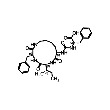 CC[C@H](C)[C@@H]1NC(=O)[C@H](NC(=O)N[C@@H](Cc2ccccc2)C(=O)O)CCCCNC(=O)[C@H](Cc2ccccc2)NC1=O